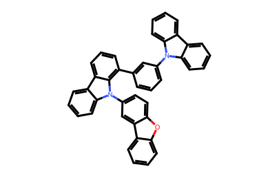 c1cc(-c2cccc3c4ccccc4n(-c4ccc5oc6ccccc6c5c4)c23)cc(-n2c3ccccc3c3ccccc32)c1